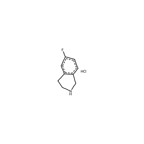 Cl.Fc1ccc2c(c1)CCNC2